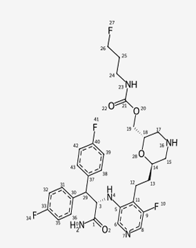 NC(=O)[C@@H](Nc1cncc(F)c1CC[C@@H]1CNC[C@@H](COC(=O)NCCCF)O1)C(c1ccc(F)cc1)c1ccc(F)cc1